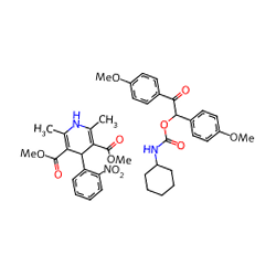 COC(=O)C1=C(C)NC(C)=C(C(=O)OC)C1c1ccccc1[N+](=O)[O-].COc1ccc(C(=O)C(OC(=O)NC2CCCCC2)c2ccc(OC)cc2)cc1